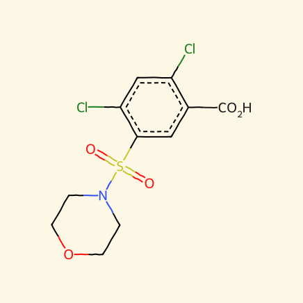 O=C(O)c1cc(S(=O)(=O)N2CCOCC2)c(Cl)cc1Cl